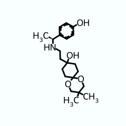 C[C@H](NCCC1(O)CCC2(CC1)OCC(C)(C)CO2)c1ccc(O)cc1